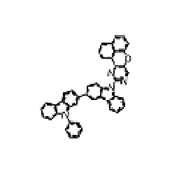 c1ccc(-n2c3ccccc3c3ccc(-c4ccc5c(c4)c4ccccc4n5-c4ncc5c(n4)-c4cccc6cccc(c46)O5)cc32)cc1